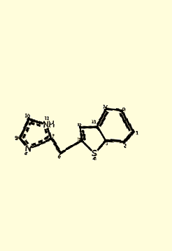 C1=CCC2SC(Cc3ncc[nH]3)=CC2=C1